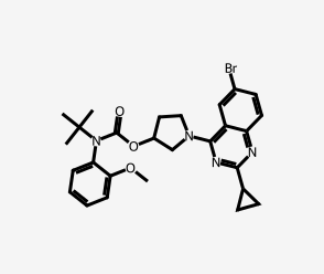 COc1ccccc1N(C(=O)OC1CCN(c2nc(C3CC3)nc3ccc(Br)cc23)C1)C(C)(C)C